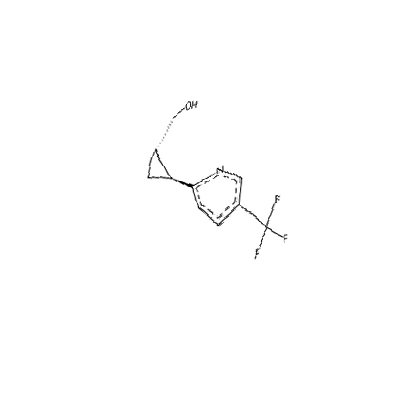 OC[C@H]1C[C@@H]1c1ccc(C(F)(F)F)cn1